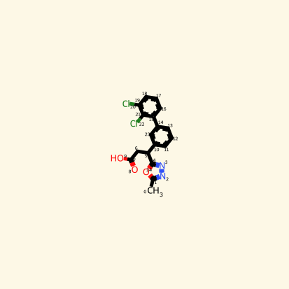 Cc1nnc(C(CC(=O)O)c2cccc(-c3cccc(Cl)c3Cl)c2)o1